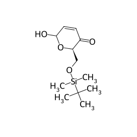 CC(C)(C)[Si](C)(C)OC[C@H]1OC(O)C=CC1=O